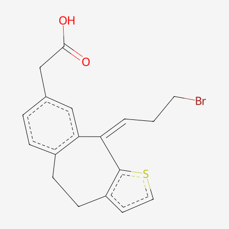 O=C(O)Cc1ccc2c(c1)/C(=C/CCBr)c1sccc1CC2